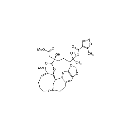 COC(=O)C[C@](O)(CCCC(C)(C)OC(=O)c1cnoc1C)C(=O)O[C@@H]1/C(OC)=C\CCCCN2CCc3cc4c(cc3[C@H]1C2)OCO4